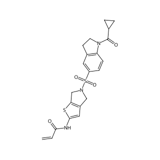 C=CC(=O)Nc1cc2c(s1)CN(S(=O)(=O)c1ccc3c(c1)CCN3C(=O)C1CC1)C2